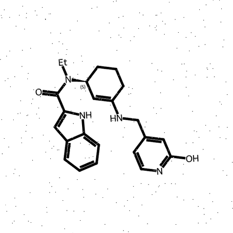 CCN(C(=O)c1cc2ccccc2[nH]1)[C@@H]1C=C(NCc2ccnc(O)c2)CCC1